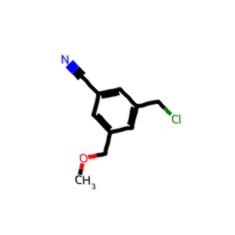 COCc1cc(C#N)cc(CCl)c1